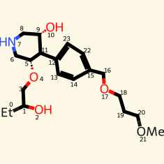 CCC(O)CO[C@@H]1CNC[C@H](O)C1c1ccc(COCCCOC)cc1